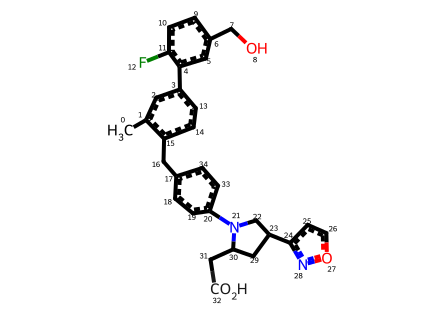 Cc1cc(-c2cc(CO)ccc2F)ccc1Cc1ccc(N2CC(c3ccon3)CC2CC(=O)O)cc1